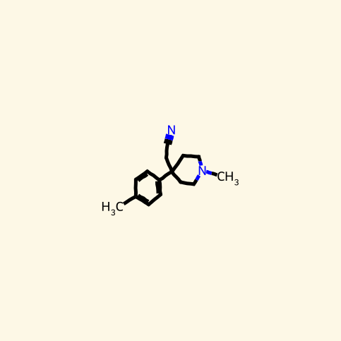 Cc1ccc(C2(CC#N)CCN(C)CC2)cc1